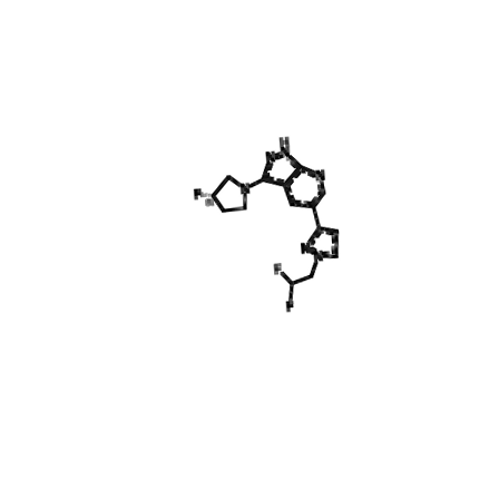 FC(F)Cn1ccc(-c2cnc3[nH]nc(N4CC[C@H](F)C4)c3c2)n1